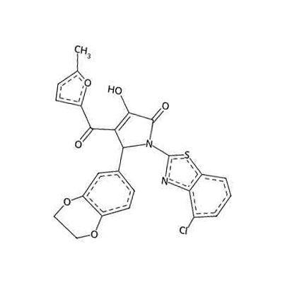 Cc1ccc(C(=O)C2=C(O)C(=O)N(c3nc4c(Cl)cccc4s3)C2c2ccc3c(c2)OCCO3)o1